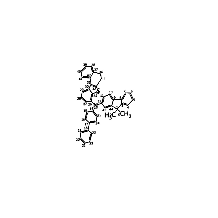 CC1(C)c2ccccc2-c2ccc(N(c3ccc(-c4ccccc4)cc3)c3cccc4c5c(sc34)CCc3ccccc3-5)cc21